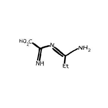 CC/C(N)=N\C(=N)C(=O)O